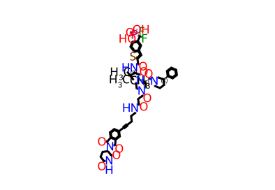 CC(C)(C)[C@H](NC(=O)c1cc2cc(C(F)(F)P(=O)(O)O)ccc2s1)C(=O)N1CCN(C(=O)CC(=O)NCCCC#Cc2ccc3c(c2)C(=O)N(C2CCC(=O)NC2=O)C3=O)C[C@H]1C(=O)N1CCC[C@H](c2ccccc2)C1